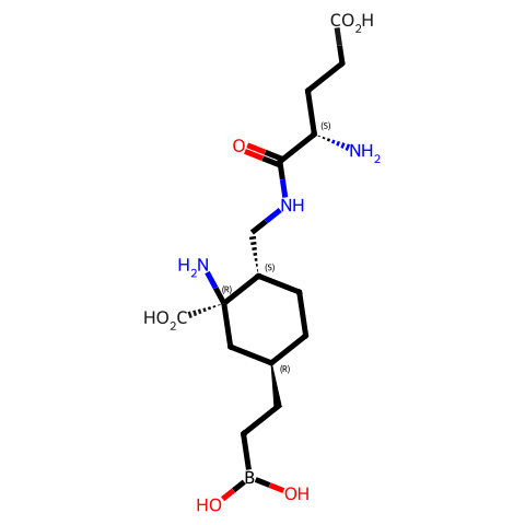 N[C@@H](CCC(=O)O)C(=O)NC[C@@H]1CC[C@@H](CCB(O)O)C[C@]1(N)C(=O)O